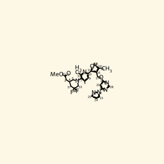 COC(=O)CC1CN(c2ccc(-c3onc(C)c3COc3cc(-n4cccn4)ncn3)nc2C)CC(F)(F)C1